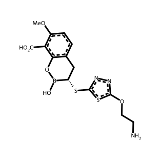 COc1ccc2c(c1C(=O)O)OB(O)[C@@H](Sc1nnc(OCCN)s1)C2